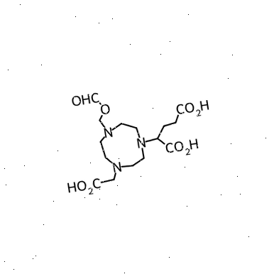 O=COCN1CCN(CC(=O)O)CCN(C(CCC(=O)O)C(=O)O)CC1